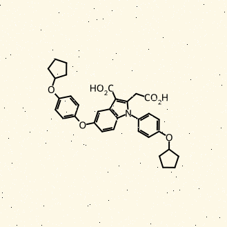 O=C(O)Cc1c(C(=O)O)c2cc(Oc3ccc(OC4CCCC4)cc3)ccc2n1-c1ccc(OC2CCCC2)cc1